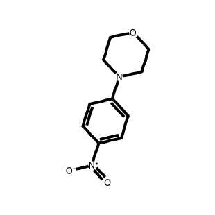 O=[N+]([O-])c1[c]cc(N2CCOCC2)cc1